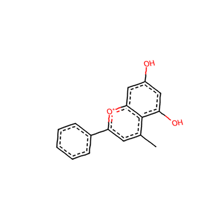 Cc1cc(-c2ccccc2)[o+]c2cc(O)cc(O)c12